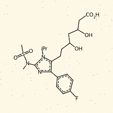 CC(C)n1c(N(C)S(C)(=O)=O)nc(-c2ccc(F)cc2)c1CCC(O)CC(O)CC(=O)O